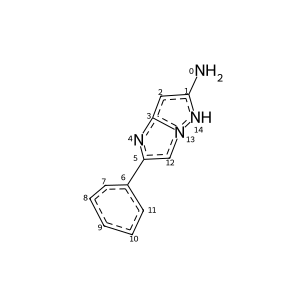 Nc1cc2nc(-c3ccccc3)cn2[nH]1